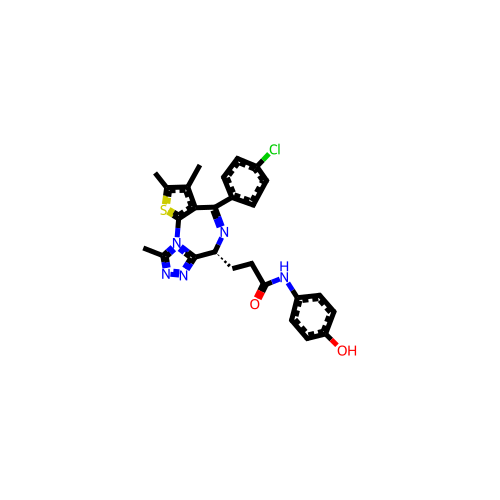 Cc1sc2c(c1C)C(c1ccc(Cl)cc1)=N[C@H](CCC(=O)Nc1ccc(O)cc1)c1nnc(C)n1-2